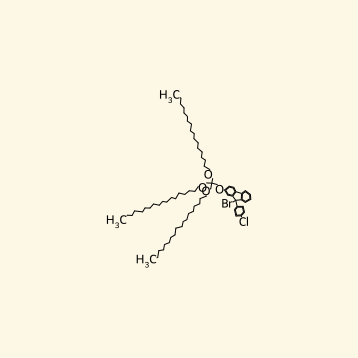 CCCCCCCCCCCCCCCCCCOCC(COCCCCCCCCCCCCCCCCCC)(COCCCCCCCCCCCCCCCCCC)COc1ccc2c(c1)C(Br)(c1ccc(Cl)cc1)c1ccccc1-2